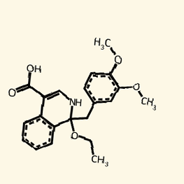 CCOC1(Cc2ccc(OC)c(OC)c2)NC=C(C(=O)O)c2ccccc21